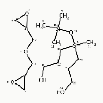 C(OCC1CO1)C1CO1.C[Si](C)(C)O[Si](C)(CCCO)CCCO